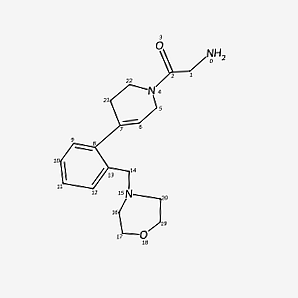 NCC(=O)N1CC=C(c2ccccc2CN2CCOCC2)CC1